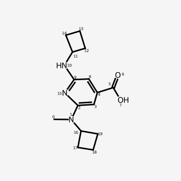 CN(c1cc(C(=O)O)cc(NC2CCC2)n1)C1CCC1